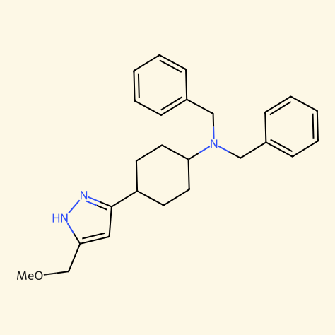 COCc1cc(C2CCC(N(Cc3ccccc3)Cc3ccccc3)CC2)n[nH]1